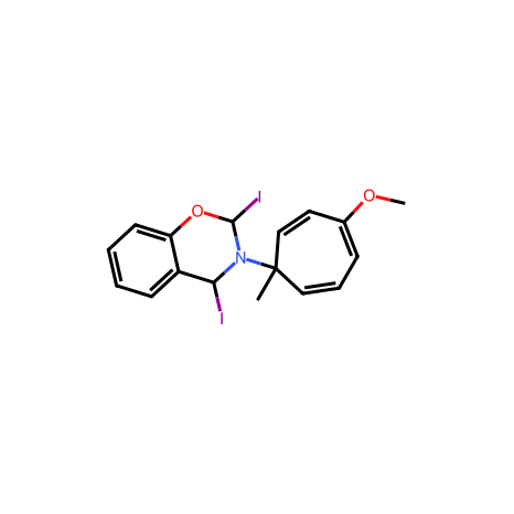 COC1=CC=CC(C)(N2C(I)Oc3ccccc3C2I)C=C1